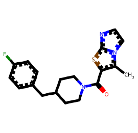 Cc1c(C(=O)N2CCC(Cc3ccc(F)cc3)CC2)sc2nc[c]n12